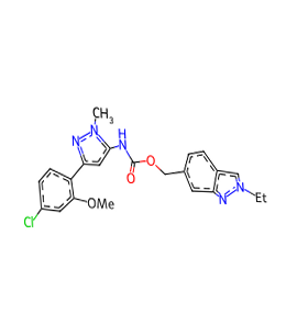 CCn1cc2ccc(COC(=O)Nc3cc(-c4ccc(Cl)cc4OC)nn3C)cc2n1